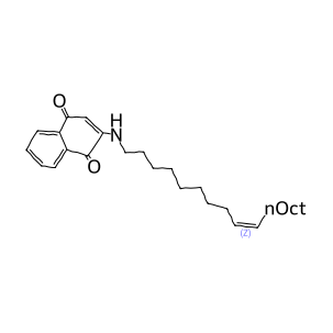 CCCCCCCC/C=C\CCCCCCCCNC1=CC(=O)c2ccccc2C1=O